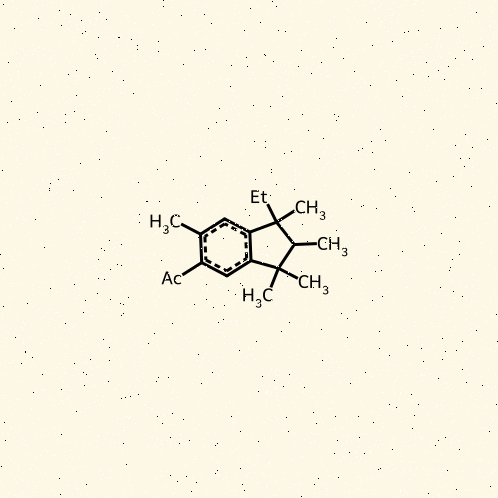 CCC1(C)c2cc(C)c(C(C)=O)cc2C(C)(C)C1C